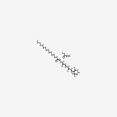 CCC(=O)O.CCCCCCCCCCCCCCCC(=O)OC/C=C(C)/C=C/C=C(C)/C=C/C1=C(C)CCCC1(C)C